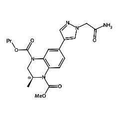 COC(=O)N1c2ccc(-c3cnn(CC(N)=O)c3)cc2N(C(=O)OC(C)C)C[C@@H]1C